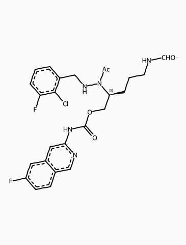 CC(=O)N(NCc1cccc(F)c1Cl)[C@@H](CCCN[C]=O)COC(=O)Nc1cc2cc(F)ccc2cn1